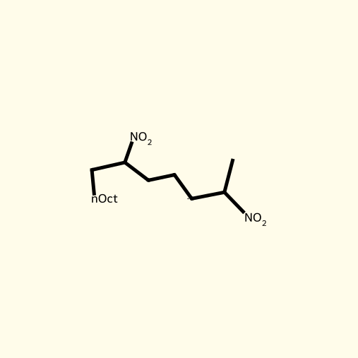 CCCCCCCCCC(CC[CH]C(C)[N+](=O)[O-])[N+](=O)[O-]